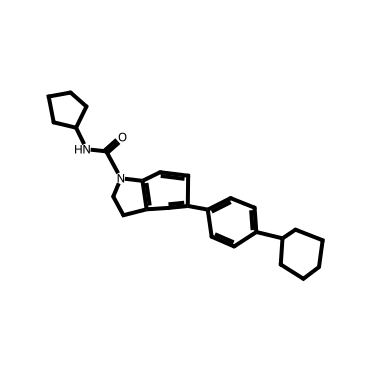 O=C(NC1CCCC1)N1CCc2cc(-c3ccc(C4CCCCC4)cc3)ccc21